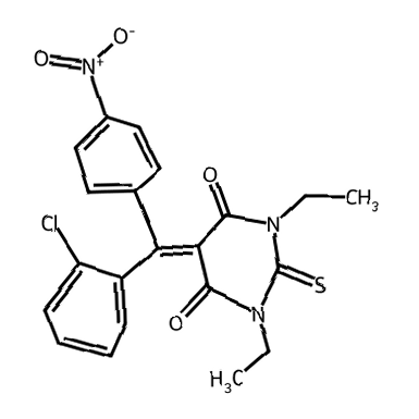 CCN1C(=O)C(=C(c2ccc([N+](=O)[O-])cc2)c2ccccc2Cl)C(=O)N(CC)C1=S